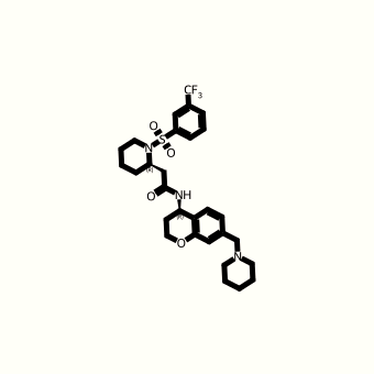 O=C(C[C@H]1CCCCN1S(=O)(=O)c1cccc(C(F)(F)F)c1)N[C@@H]1CCOc2cc(CN3CCCCC3)ccc21